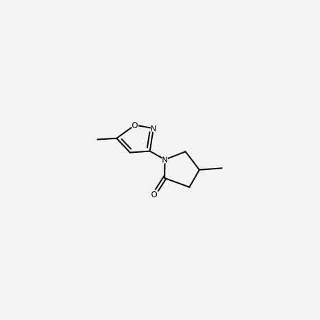 Cc1cc(N2CC(C)CC2=O)no1